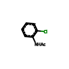 CC(=O)Nc1ccc[c]c1Cl